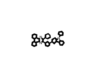 C1=CC(c2nc3c4ccccc4c4ccccc4c3nc2-c2cccc(-c3ccc4c(c3)c3ccccc3n4-c3ccccc3)c2)=CCC1